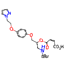 CC(C)(C)NCC(COc1ccc(OCCn2cccn2)cc1)OC(=O)/C=C\C(=O)O